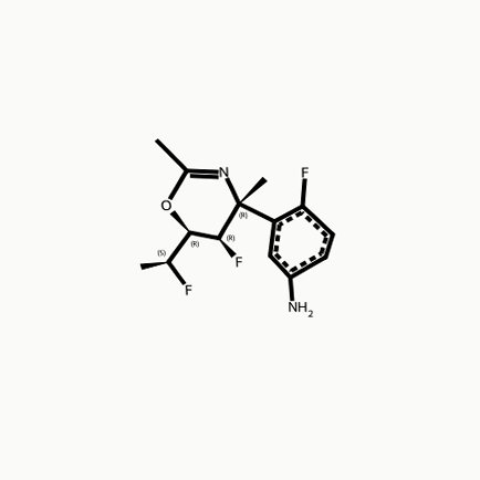 CC1=N[C@](C)(c2cc(N)ccc2F)[C@@H](F)[C@@H]([C@H](C)F)O1